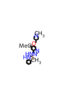 COc1cc2c(NC(=S)Nc3ccccc3C)ncnc2cc1OCC1CCN(C)CC1